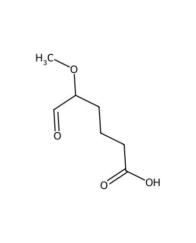 COC(C=O)CCCC(=O)O